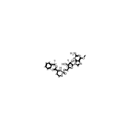 COc1nc(N)nc2c1ncn2[C@@H]1OC(CO[P@@]2(=O)NC(C(=O)O[C@@H](C)c3ccccc3)CCS2)[C@@H](O)[C@@]1(C)O